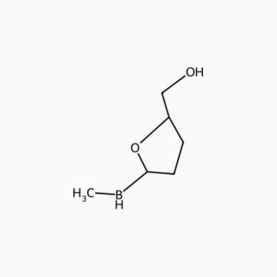 CBC1CCC(CO)O1